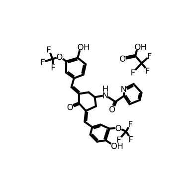 O=C(O)C(F)(F)F.O=C1/C(=C/c2ccc(O)c(OC(F)(F)F)c2)CC(NC(=O)c2ccccn2)C/C1=C\c1ccc(O)c(OC(F)(F)F)c1